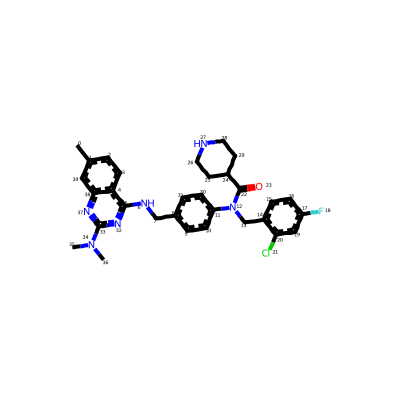 Cc1ccc2c(NCc3ccc(N(Cc4ccc(F)cc4Cl)C(=O)C4CCNCC4)cc3)nc(N(C)C)nc2c1